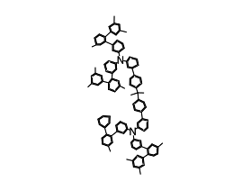 Cc1cc(C)cc(-c2ccc(C)cc2-c2cccc(N(c3cccc(-c4ccc(C(C)(C)c5ccc(-c6cccc(N(c7cccc(-c8cc(C)ccc8-c8cc(C)cc(C)c8)c7)c7cccc(-c8cc(C)ccc8-c8cc(C)cc(C)c8)c7)c6)cc5)cc4)c3)c3cccc(-c4cc(C)ccc4-c4ccccc4)c3)c2)c1